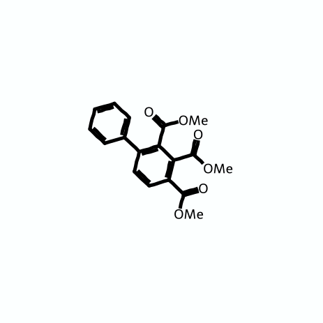 COC(=O)c1ccc(-c2ccccc2)c(C(=O)OC)c1C(=O)OC